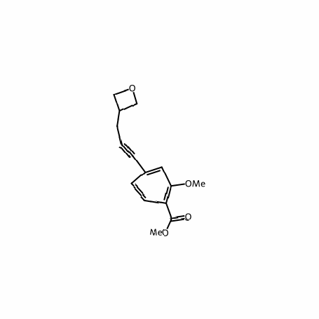 COC(=O)c1ccc(C#CCC2COC2)cc1OC